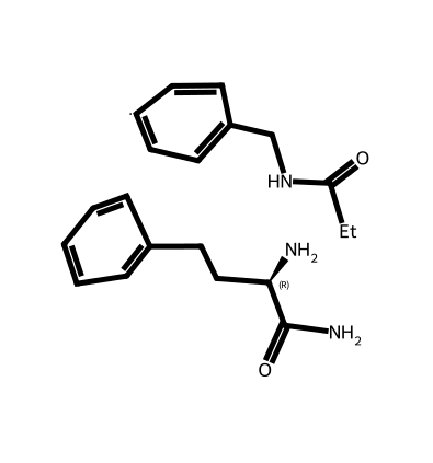 CCC(=O)NCc1cc[c]cc1.NC(=O)[C@H](N)CCc1ccccc1